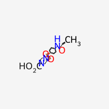 CC#CC(=O)Nc1ccc(S(=O)(=O)N2CCN(C(=O)O)CC2)cc1